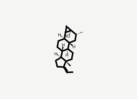 C/C=C1/CC[C@H]2[C@@H]3CC[C@H]4C5C[C@@]5(O)[C@H](C)C[C@@H]4[C@H]3CC[C@]12C